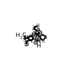 Cn1sc(=O)c2cc(S(=O)(=O)N[C@@H]3CCCC[C@@H]3NS(=O)(=O)c3cccs3)ccc21